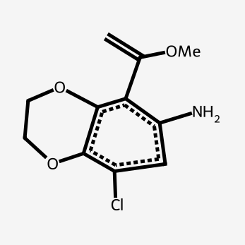 C=C(OC)c1c(N)cc(Cl)c2c1OCCO2